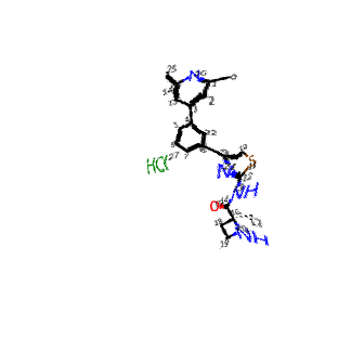 Cc1cc(-c2cccc(-c3csc(NC(=O)[C@]4(C)CCN4)n3)c2)cc(C)n1.Cl